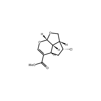 COC(=O)C1=CO[C@@H]2OC[C@H]3[C@@H]2[C@@H]1C[C@H]3Cl